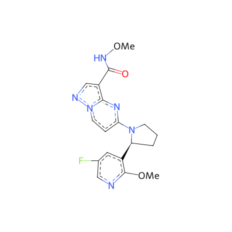 CONC(=O)c1cnn2ccc(N3CCC[C@H]3c3cc(F)cnc3OC)nc12